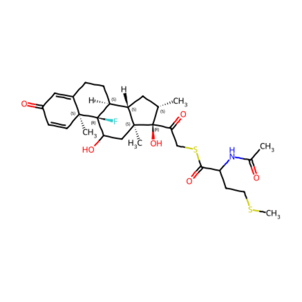 CSCCC(NC(C)=O)C(=O)SCC(=O)[C@@]1(O)[C@@H](C)C[C@H]2[C@@H]3CCC4=CC(=O)C=C[C@]4(C)[C@@]3(F)C(O)C[C@@]21C